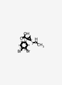 CNC[C@H]1C[C@@]1(C(=O)O)c1ccc(Br)c(Br)c1